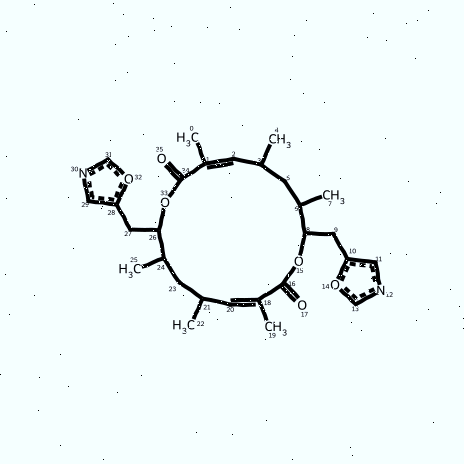 CC1=CC(C)CC(C)C(Cc2cnco2)OC(=O)C(C)=CC(C)CC(C)C(Cc2cnco2)OC1=O